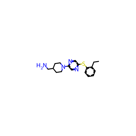 CCc1ccccc1Sc1cnc(N2CCC(CN)CC2)cn1